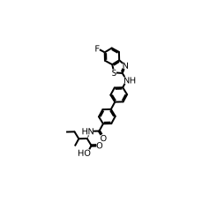 CCC(C)[C@H](NC(=O)c1ccc(-c2ccc(Nc3nc4ccc(F)cc4s3)cc2)cc1)C(=O)O